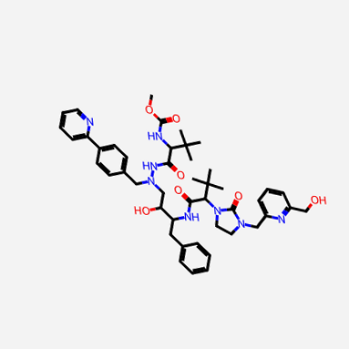 COC(=O)NC(C(=O)NN(Cc1ccc(-c2ccccn2)cc1)CC(O)C(Cc1ccccc1)NC(=O)C(N1CCN(Cc2cccc(CO)n2)C1=O)C(C)(C)C)C(C)(C)C